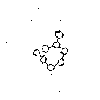 c1ccc(-c2ccc(-c3cccc(-c4cccc(-c5cccc(-c6cc(-c7ccncc7)cc(-c7ccncc7)c6)c5)c4)c3)cc2)cc1